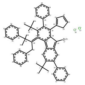 CC(C)(C)c1cc2c(cc1-c1ccccc1)=[C]([Zr+2])c1c(C3=CC=CC3)c(-c3ccccc3)c(C(C)(C)C)c(=C(Cc3ccccc3)C(C)(C)c3ccccc3)c1=2.[Cl-].[Cl-]